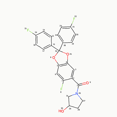 O=C(c1cc2c(cc1F)OC(c1ccc(F)cc1)(c1ccc(F)cc1)O2)N1CCC(O)C1